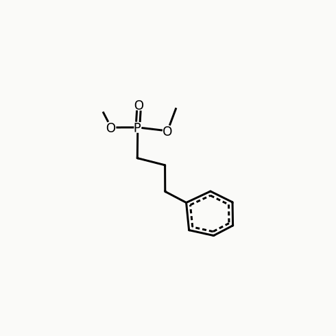 COP(=O)(CCCc1ccccc1)OC